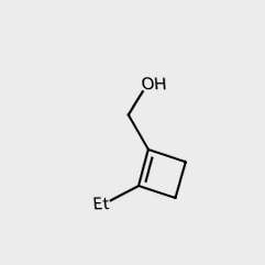 CCC1=C(CO)CC1